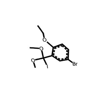 CCOc1ccc(Br)cc1C(I)(OC)OC